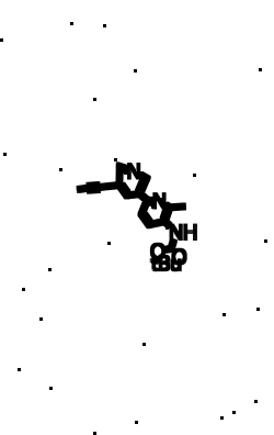 CC#Cc1cncc(-c2ccc(NC(=O)OC(C)(C)C)c(C)n2)c1